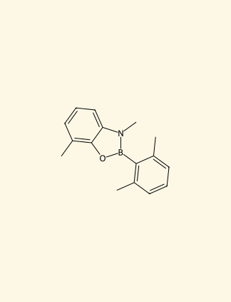 Cc1cccc2c1OB(c1c(C)cccc1C)N2C